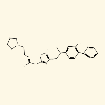 CC(Cc1cc(NC(N)=NCCN2CCCC2)on1)c1ccc(-c2ccccc2)c(F)c1